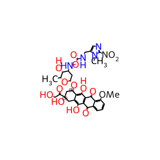 COc1cccc2c1C(=O)c1c(O)c3c(c(O)c1C2=O)C[C@@](O)(C(=O)CO)C[C@@H]3OC1CC(NOC(=O)NCc2cnc([N+](=O)[O-])n2C)C(O)C(C)O1